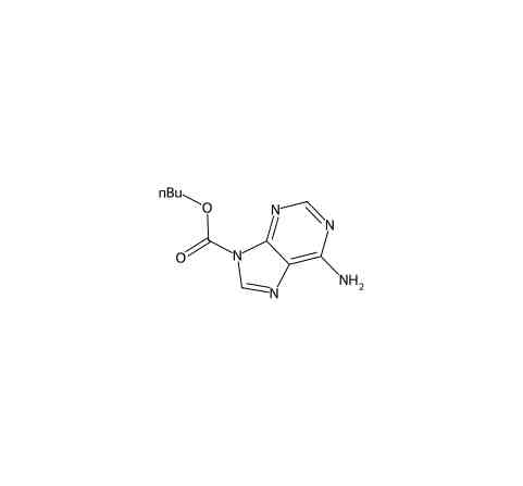 CCCCOC(=O)n1cnc2c(N)ncnc21